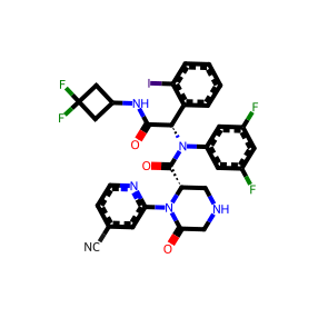 N#Cc1ccnc(N2C(=O)CNC[C@H]2C(=O)N(c2cc(F)cc(F)c2)[C@H](C(=O)NC2CC(F)(F)C2)c2ccccc2I)c1